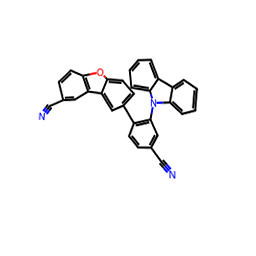 N#Cc1ccc(-c2ccc3oc4ccc(C#N)cc4c3c2)c(-n2c3ccccc3c3ccccc32)c1